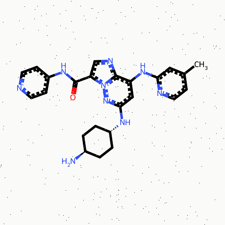 Cc1ccnc(Nc2cc(N[C@H]3CC[C@H](N)CC3)nn3c(C(=O)Nc4ccncc4)cnc23)c1